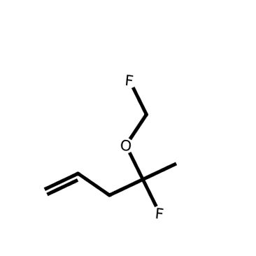 C=CCC(C)(F)OCF